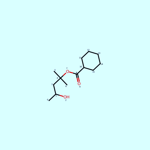 CC(O)CC(C)(C)OC(=O)C1CCCCC1